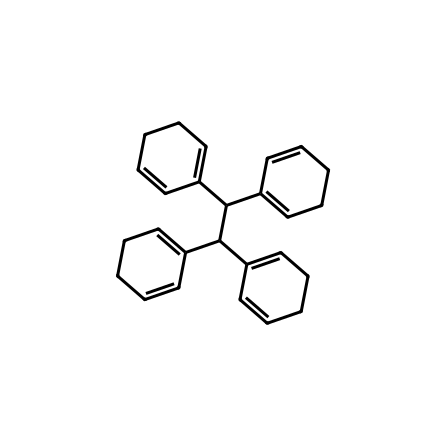 C1=CC(C(C2=CCCC=C2)C(C2=CCCC=C2)C2=CCCC=C2)=CCC1